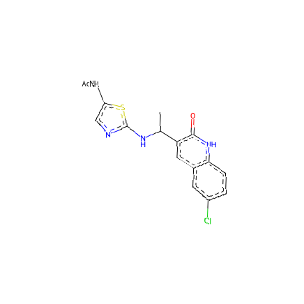 CC(=O)Nc1cnc(NC(C)c2cc3cc(Cl)ccc3[nH]c2=O)s1